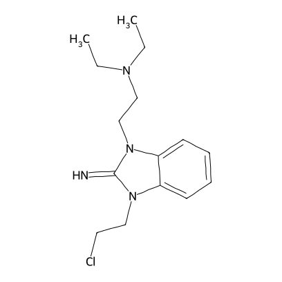 CCN(CC)CCn1c(=N)n(CCCl)c2ccccc21